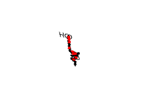 CCCCC(CC)COC(=O)C(CC(CC)CCCC)C(CCCCCCCCCCCCCCC(=O)O)C(C)C